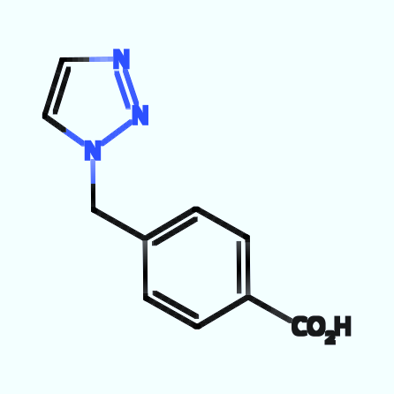 O=C(O)c1ccc(Cn2ccnn2)cc1